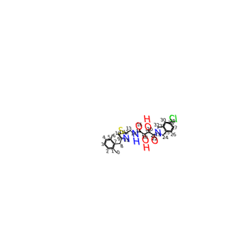 Cc1cccc(C)c1Cc1csc(CNC(=O)[C@H](O)[C@@H](O)C(=O)N2Cc3ccc(Cl)cc3C2)n1